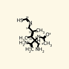 C=C(N)C(CN)(NC(C)=O)/C(C)=C(\C)C/N=C\S